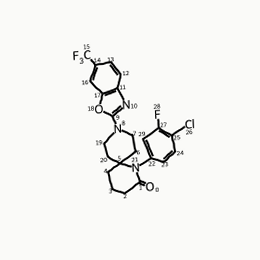 O=C1CCCC2(CCN(c3nc4ccc(C(F)(F)F)cc4o3)CC2)N1c1ccc(Cl)c(F)c1